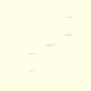 COc1ccc(/C=N/C2=CCC(C)C=C2)cc1